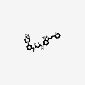 CN1CCN(c2cccc(NC(=O)CC(=O)Nc3ccc4c(/C=C/c5ccccn5)n[nH]c4c3)c2)CC1